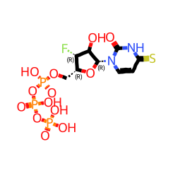 O=c1[nH]c(=S)ccn1[C@@H]1O[C@H](COP(=O)(O)OP(=O)(O)OP(=O)(O)O)[C@H](F)C1O